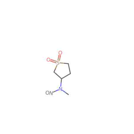 CN(N=O)C1CCS(=O)(=O)C1